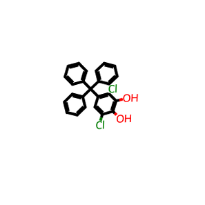 Oc1c(Cl)cc(C(c2ccccc2)(c2ccccc2)c2ccccc2)c(Cl)c1O